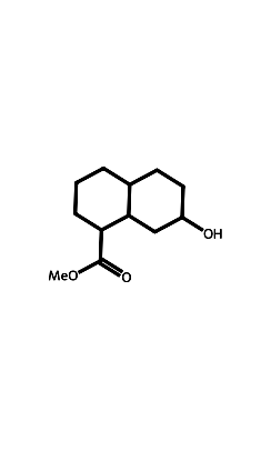 COC(=O)C1CCCC2CCC(O)CC21